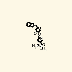 CN(C)C(=O)c1ccc(COc2coc(CN3Cc4ccccc4C3)cc2=O)nc1